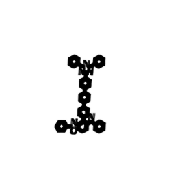 C1=c2c(-c3ccccc3)nc3cc(-c4ccc(-c5ccc(-c6nc(-c7ccccc7)nc(-c7ccccc7)n6)cc5)cc4)ccc3c2=C2N=C(c3ccccc3)OC2C1